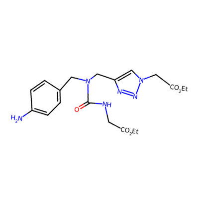 CCOC(=O)CNC(=O)N(Cc1ccc(N)cc1)Cc1cn(CC(=O)OCC)nn1